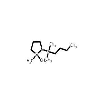 CCCC[Si](C)(C)N1CCC[Si]1(C)C